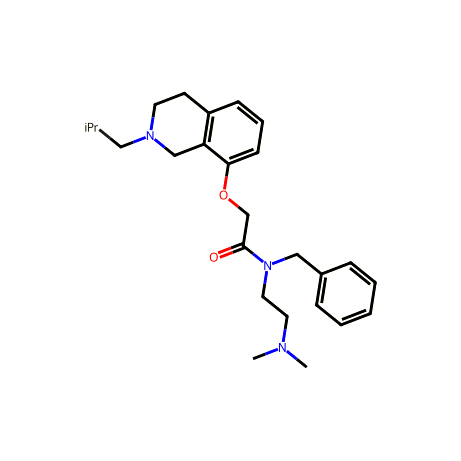 CC(C)CN1CCc2cccc(OCC(=O)N(CCN(C)C)Cc3ccccc3)c2C1